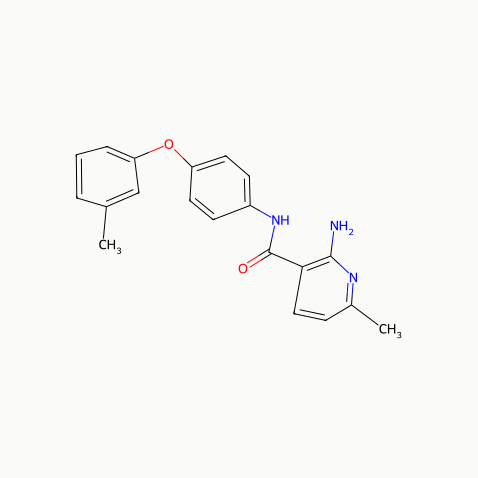 Cc1cccc(Oc2ccc(NC(=O)c3ccc(C)nc3N)cc2)c1